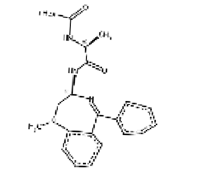 CCCCCCC(=O)N[C@@H](C)C(=O)N[C@@H]1CN(C)c2ccccc2C(c2ccccc2)=N1